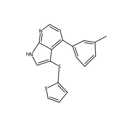 Cc1cccc(-c2ccnc3[nH]cc(Sc4cccs4)c23)c1